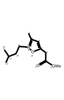 COC(=O)Cc1cc(C)[n+](CCC(C)I)o1